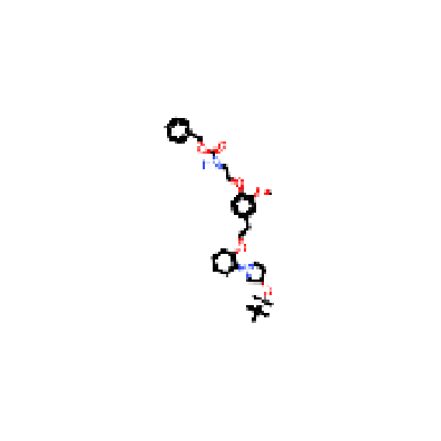 COc1cc(CCOC2CCCCC2N2CC[C@@H](O[Si](C)(C)C(C)(C)C)C2)ccc1OCCNC(=O)OCc1ccccc1